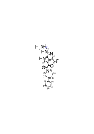 N/C=C\Nc1ncc(CF)c2c(C(=O)C(=O)N3CCCC(c4ccccc4)CC3)c[nH]c12